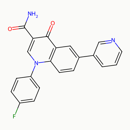 NC(=O)c1cn(-c2ccc(F)cc2)c2ccc(-c3cccnc3)cc2c1=O